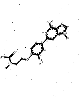 CC(C)C(=O)N(C)CCOc1ccc(-c2cc3c(ncn3C)c(C#N)n2)cc1C(F)(F)F